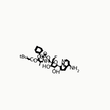 C[C@H](N[P@](=O)(OC[C@@]1(CF)O[C@@H](c2ccc3c(N)ccnn23)[C@H](O)[C@@H]1O)Oc1ccccc1)C(=O)OCCC(C)(C)C